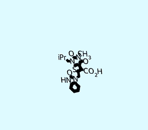 CC(C)Cn1c(=O)n(C)c(=O)c2c(C(=O)O)c(Cn3c(=O)[nH]c4ccccc43)sc21